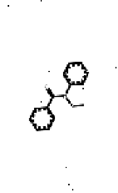 CSN(C(=O)c1ccccc1)c1ccccc1